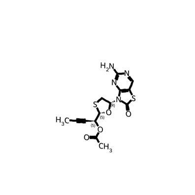 CC#C[C@H](OC(C)=O)[C@H]1O[C@@H](n2c(=O)sc3cnc(N)nc32)CS1